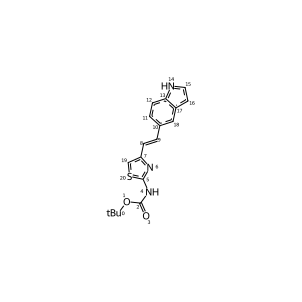 CC(C)(C)OC(=O)Nc1nc(C=Cc2ccc3[nH]ccc3c2)cs1